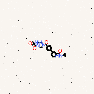 NC1(C(=O)N2CCN(C(=O)c3ccc(-c4cccc(C(=O)NC5CC5)c4)cc3)CC2)COC1